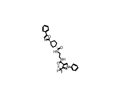 O=C(NCCNC(=O)[C@H]1CC[C@H](c2ncc(-c3ccccc3)o2)CC1)c1cn(-c2ccccc2)nc1C(F)(F)F